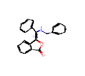 O=C1O/C(=C(\NCc2ccccc2)c2ccccc2)c2ccccc21